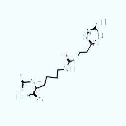 Cc1nnc(CCOC(=O)NCCCCC(NC(=O)F)C(=O)O)nn1